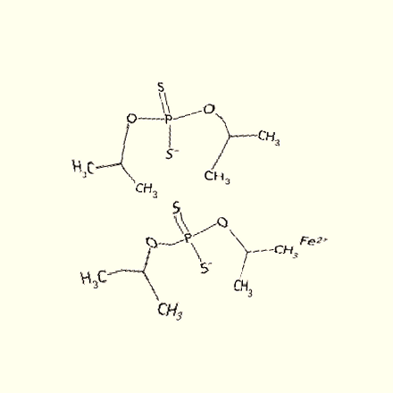 CC(C)OP(=S)([S-])OC(C)C.CC(C)OP(=S)([S-])OC(C)C.[Fe+2]